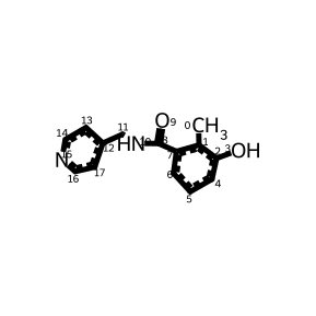 Cc1c(O)cccc1C(=O)NCc1ccncc1